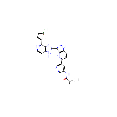 CC(C)C(=O)Nc1cncc(-c2ccc3[nH]nc(-c4nc5c(-c6ccc(Cl)s6)nccc5[nH]4)c3n2)c1